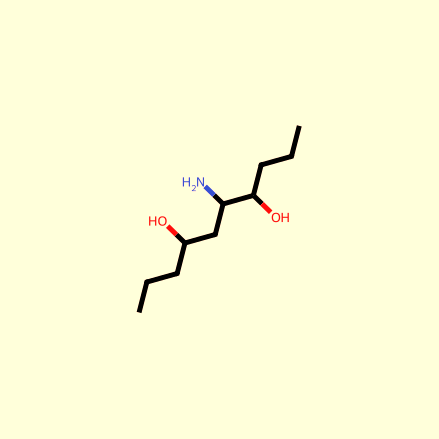 CCCC(O)CC(N)C(O)CCC